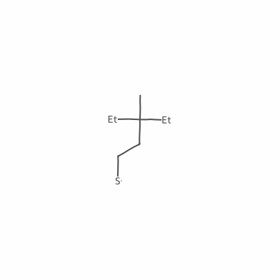 CCC(C)(CC)CC[S]